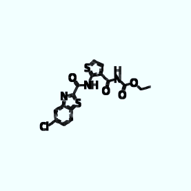 CCOC(=O)NC(=O)c1ccsc1NC(=O)c1nc2cc(Cl)ccc2s1